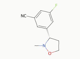 CN1OCC[C@H]1c1cc(F)cc(C#N)c1